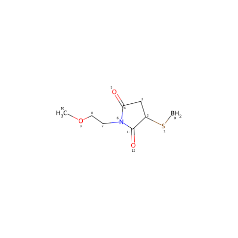 BSC1CC(=O)N(CCOC)C1=O